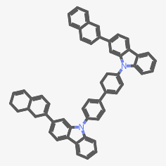 C1=CC2=CC=C(c3ccc4c5ccccc5n(-c5ccc(C6=CC=C(n7c8ccccc8c8ccc(-c9ccc%10ccccc%10c9)cc87)CC6)cc5)c4c3)CC2CC1